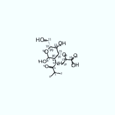 CC(C)C(=O)N[C@H]1C(O)O[C@H](CO)[C@@H](O)[C@@H]1O[C@H](C)C(=O)O